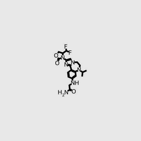 CC(C)N1CCn2cc(N3C(=O)OCC3C(F)F)nc2-c2ccc(NCC(N)=O)cc21